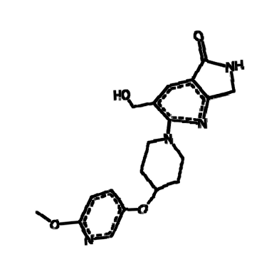 COc1ccc(OC2CCN(c3nc4c(cc3CO)C(=O)NC4)CC2)cn1